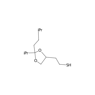 CC(C)CCC1(C(C)C)OCC(CCS)O1